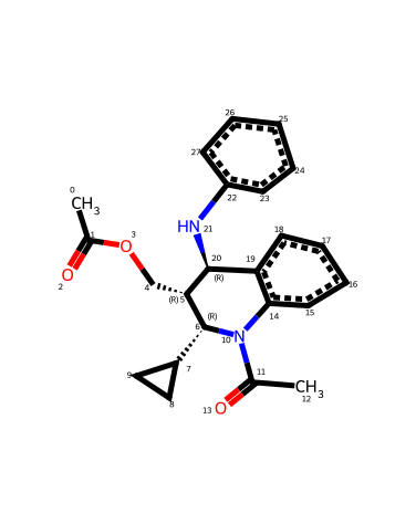 CC(=O)OC[C@H]1[C@@H](C2CC2)N(C(C)=O)c2ccccc2[C@@H]1Nc1ccccc1